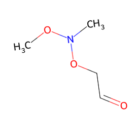 CON(C)OCC=O